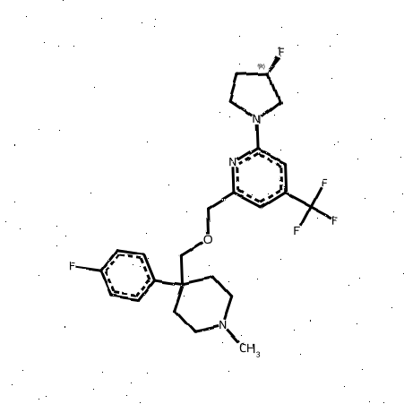 CN1CCC(COCc2cc(C(F)(F)F)cc(N3CC[C@@H](F)C3)n2)(c2ccc(F)cc2)CC1